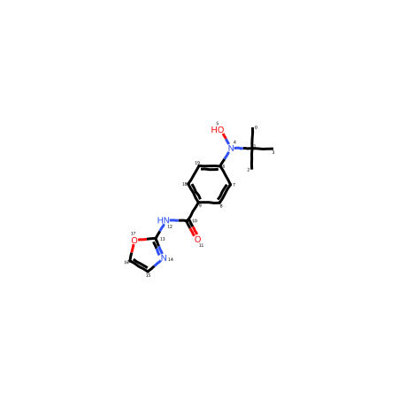 CC(C)(C)N(O)c1ccc(C(=O)Nc2ncco2)cc1